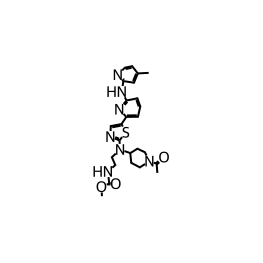 COC(=O)NCCN(c1ncc(-c2cccc(Nc3cc(C)ccn3)n2)s1)C1CCN(C(C)=O)CC1